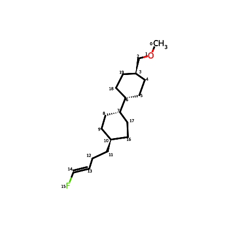 COC[C@H]1CC[C@H]([C@H]2CC[C@H](CCC=CF)CC2)CC1